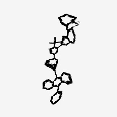 CC1(C)c2ccc(-c3ccc(-c4c5ccccc5c(-c5ccccc5)c5ccccc45)cc3)cc2-c2cc3ccc4sc5ccccc5c4c3cc21